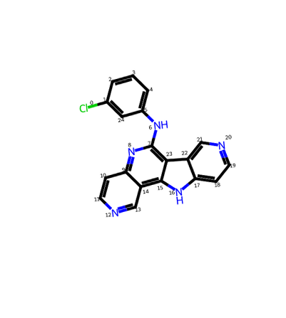 Clc1cccc(Nc2nc3ccncc3c3[nH]c4ccncc4c23)c1